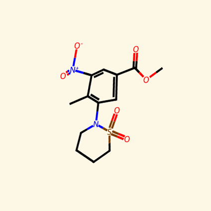 COC(=O)c1cc(N2CCCCS2(=O)=O)c(C)c([N+](=O)[O-])c1